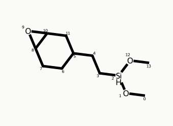 CO[SiH](CCC1CCC2OC2C1)OC